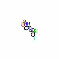 CCC(C)(c1ccc(F)cc1Cl)n1ccc2c(NS(C)(=O)=O)cccc21